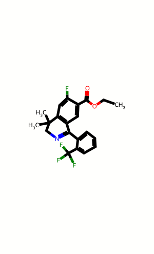 CCOC(=O)c1cc2c(cc1F)C(C)(C)CN=C2c1ccccc1C(F)(F)F